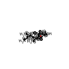 C[C@@H](O)[C@H](NC(=O)[C@H](Cc1c[nH]c2ccccc12)NC(=O)[C@@H]1CCCN1C(=O)[C@H](Cc1ccc(O)cc1)NC(=O)[C@H](CO)NC(=O)[C@H](CCC(N)=O)NC(=O)CNC(=O)[C@H](CCC(N)=O)NC(=O)[C@@H](N)CCC(N)=O)C(=O)O